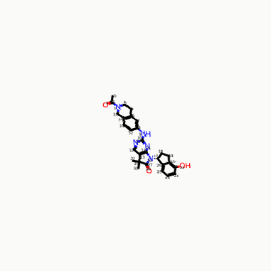 CC(=O)N1CCc2cc(Nc3ncc4c(n3)N([C@@H]3CCc5c(O)cccc53)C(=O)C4(C)C)ccc2C1